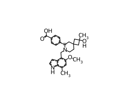 COc1cc(C)c2[nH]ccc2c1CN1CCC2(C[C@@H]1c1ccc(C(=O)O)cc1)CC(C)(O)C2